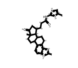 Cc1nc2c3c(ccc2o1)C1CCC2(C)C(=O)CC(CCC(=O)Nc4ncc(C)s4)C2C1CC3